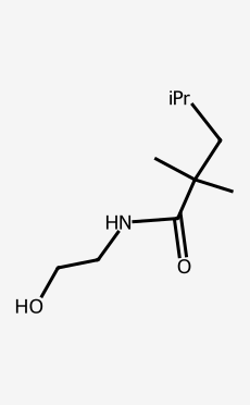 CC(C)CC(C)(C)C(=O)NCCO